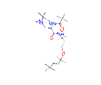 CN(CC(NC(=O)C(C)(C)C)C(=O)NC(C)(C)CCOC(C)(C)CCC(C)(C)C)C(C)(C)C